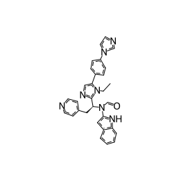 CCn1c(-c2ccc(-n3ccnc3)cc2)cnc1[C@H](Cc1ccncc1)N(C=O)c1cc2ccccc2[nH]1